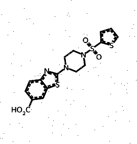 O=C(O)c1ccc2nc(N3CCN(S(=O)(=O)c4cccs4)CC3)sc2c1